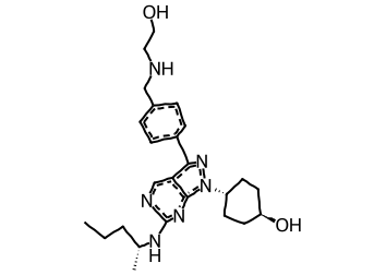 CCC[C@@H](C)Nc1ncc2c(-c3ccc(CNCCO)cc3)nn([C@H]3CC[C@H](O)CC3)c2n1